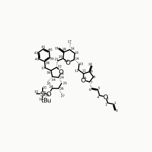 C=CCOC/C=C/[C@H]1CC(=C)C(CC[C@H]2C[C@@H](C)C(=C)C(C[C@@H]3O[C@H](C[C@H](C)CO[Si](C)(C)C(C)(C)C)[C@H](C)C3Cc3ccccc3)O2)O1